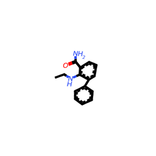 CCNc1c(C(N)=O)cccc1-c1ccccc1